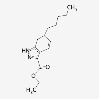 CCCCCC1C=Cc2c(C(=O)OCC)n[nH]c2C1